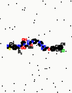 Cc1ncsc1-c1ccc([C@H](C)NC(=O)[C@@H]2C[C@@H](O)CN2C(=O)[C@@H](NC(=O)CN2CCC(CN3CCN(c4nccc(COc5ccc(C(C)(C)c6cc(Cl)cc(C#N)c6)cc5)n4)CC3)CC2)C(C)(C)C)cc1